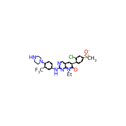 CCn1c(=O)c(-c2ccc([S+](C)[O-])cc2Cl)cc2cnc(Nc3ccc(N4CCNCC4)c(C(F)(F)F)c3)nc21